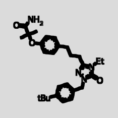 CCn1c(CCCc2ccc(OC(C)(C)C(N)=O)cc2)nn(Cc2ccc(C(C)(C)C)cc2)c1=O